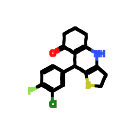 O=C1CCCC2=C1C(c1ccc(F)c(Cl)c1)C1=C(CCS1)N2